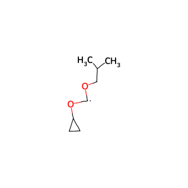 CC(C)CO[CH]OC1CC1